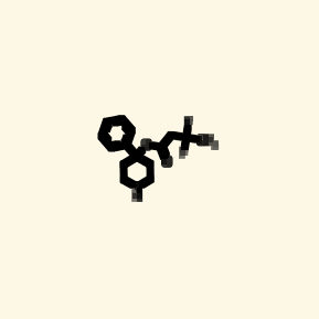 CC(F)(F)CC(=O)OC1(c2ccccc2)CCNCC1